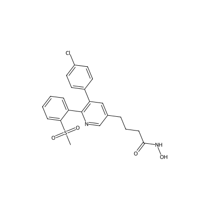 CS(=O)(=O)c1ccccc1-c1ncc(CCCC(=O)NO)cc1-c1ccc(Cl)cc1